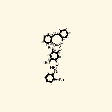 CC(C)(C)c1ccccc1OPOc1cc(OP2Oc3ccccc3Cc3ccccc3O2)c(C(C)(C)C)cc1C(C)(C)C